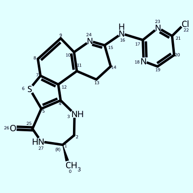 C[C@@H]1CNc2c(sc3ccc4c(c23)CCC(Nc2nccc(Cl)n2)=N4)C(=O)N1